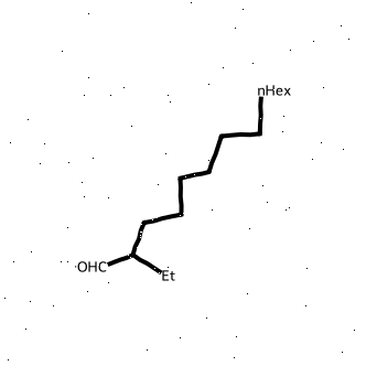 CCCCCCCCCCCCC([C]=O)CC